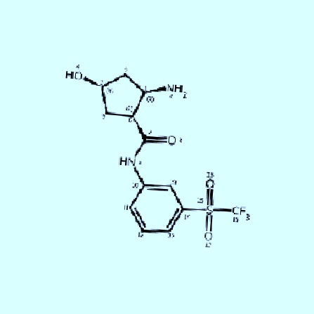 N[C@@H]1C[C@H](O)C[C@@H]1C(=O)Nc1cccc(S(=O)(=O)C(F)(F)F)c1